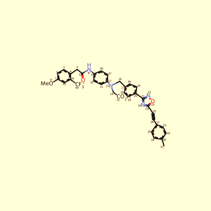 COc1ccc(CC(=O)Nc2ccc(N(CC(=O)O)Cc3ccc(-c4noc(C#Cc5ccc(C)cc5)n4)cc3)cc2)c(C(F)(F)F)c1